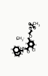 CS(=O)(=O)OCCOCc1ccc(Cl)c(C(=O)NCC23CCCC(CCC2)C3)c1.[CH2]